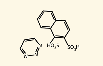 O=S(=O)(O)c1ccc2ccccc2c1S(=O)(=O)O.c1cnnnc1